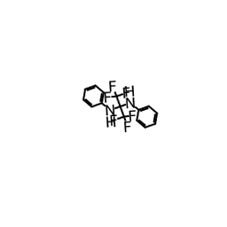 FC(F)(F)C(Nc1ccccc1)(Nc1ccccc1)C(F)(F)F